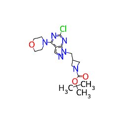 CC(C)(C)OC(=O)N1CC(Cn2ncc3c(N4CCOCC4)nc(Cl)nc32)C1